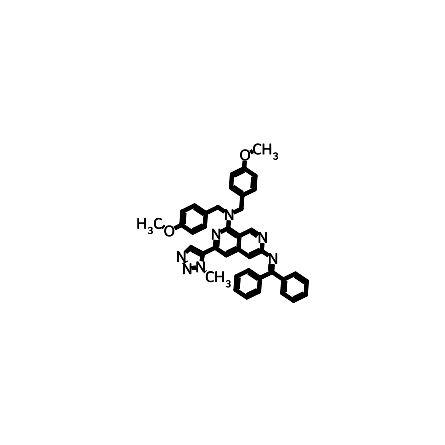 COc1ccc(CN(Cc2ccc(OC)cc2)c2nc(-c3cnnn3C)cc3cc(N=C(c4ccccc4)c4ccccc4)ncc23)cc1